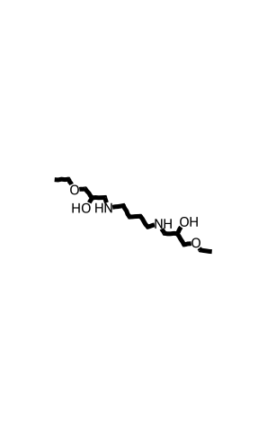 CCOCC(O)CNCCCCNCC(O)COCC